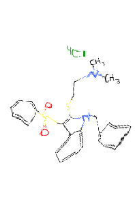 CN(C)CCSc1c(S(=O)(=O)c2ccccc2)c2ccccc2n1Cc1ccccc1.Cl